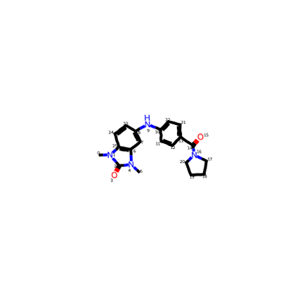 Cn1c(=O)n(C)c2cc(Nc3ccc(C(=O)N4CCCC4)cc3)ccc21